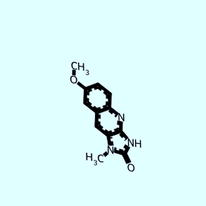 COc1ccc2nc3[nH]c(=O)n(C)c3cc2c1